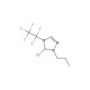 CCCN1N=CN(C(F)(F)C(F)(F)F)C1Cl